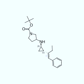 CC/C(=C\c1ccccc1)[C@@H]1C[C@H]1NC1CCN(C(=O)OC(C)(C)C)C1